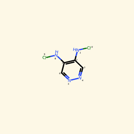 ClNc1cnncc1NCl